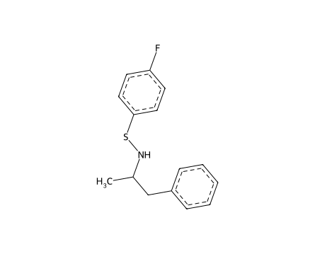 CC(Cc1ccccc1)NSc1ccc(F)cc1